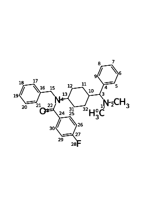 CN(C)C(c1ccccc1)C1CCC(N(Cc2ccccc2)C(=O)c2ccc(F)cc2)CC1